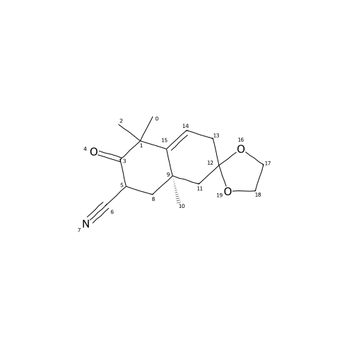 CC1(C)C(=O)C(C#N)C[C@]2(C)CC3(CC=C12)OCCO3